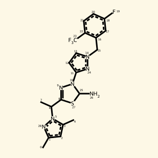 Cc1cc(C)n(C(C)C2=NN(c3ccn(Cc4cc(F)ccc4C(F)(F)F)n3)C(N)S2)n1